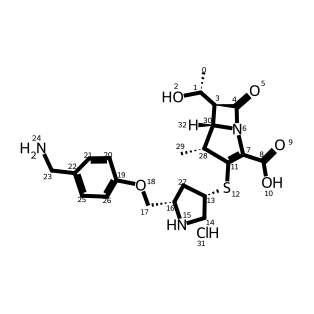 C[C@@H](O)[C@H]1C(=O)N2C(C(=O)O)=C(S[C@@H]3CN[C@H](COc4ccc(CN)cc4)C3)[C@H](C)[C@H]12.Cl